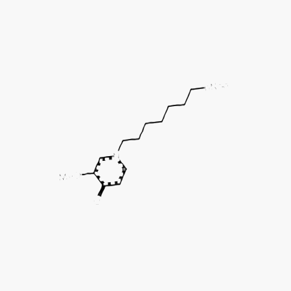 CCCCCCCCCCCCCCCCn1ccc(=O)c(OC)c1